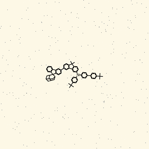 CC(C)(C)c1ccc(-c2ccc(N(c3ccc(C(C)(C)C)cc3)c3ccc4c(c3)-c3cc(-c5ccc6c(c5)-c5ccccc5C65C6CC7CC(C6)CC5C7)ccc3C4(C)C)cc2)cc1